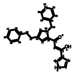 O=C(C=C(O)c1nc[nH]n1)c1cc(CCc2ccccc2)cn1Cc1ccncc1